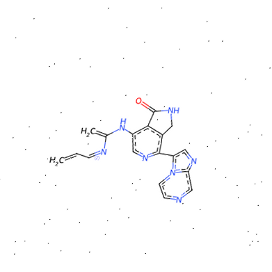 C=C/C=N\C(=C)Nc1cnc(-c2cnc3cnccn23)c2c1C(=O)NC2